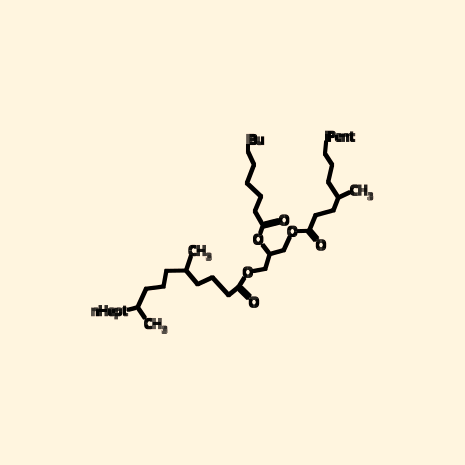 CCCCCCCC(C)CCCC(C)CCCC(=O)OCC(COC(=O)CCC(C)CCCC(C)CCC)OC(=O)CCCCCC(C)CC